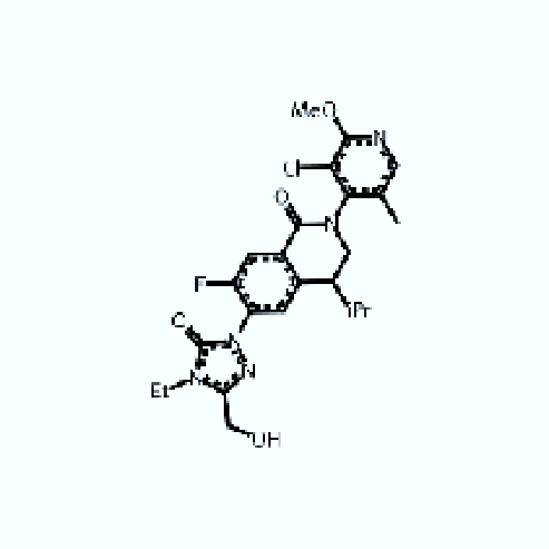 CCn1c(CO)nn(-c2cc3c(cc2F)C(=O)N(c2c(C)cnc(OC)c2Cl)CC3C(C)C)c1=O